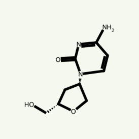 Nc1ccn([C@@H]2CO[C@H](CO)C2)c(=O)n1